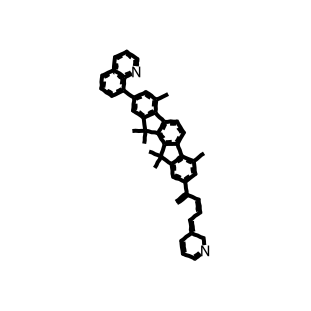 C=C(/C=C\C=C1\C=CC=NC1)c1cc(C)c2c(c1)C(C)(C)c1c-2ccc2c1C(C)(C)c1cc(-c3cccc4cccnc34)cc(C)c1-2